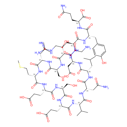 CSCC[C@H](NC(=O)[C@H](CC(C)C)NC(=O)[C@H](CO)NC(=O)[C@H](CO)NC(=O)CN)C(=O)N[C@@H](CCC(=O)O)C(=O)N[C@@H](CO)C(=O)N[C@@H](CCC(=O)O)C(=O)N[C@H](C(=O)N[C@@H](CC(N)=O)C(=O)N[C@@H](CC(C)C)C(=O)N[C@@H](CC(=O)O)C(=O)N[C@@H](CCCNC(=N)N)C(=O)N[C@@H](Cc1ccc(O)cc1)C(=O)N[C@@H](CCC(N)=O)C(=O)O)C(C)C